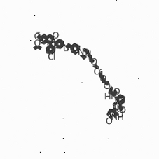 COc1cc2c(cc1OC(C)C)[C@H](c1ccc(Cl)cc1)N(c1ccc(N(C)CC3CCC(N4CCN(CCOCCOCCOCCOCCC(=O)Nc5cccc6c5CN(C5CCC(=O)NC5=O)C6=O)CC4)CC3)cc1)C(=O)C2